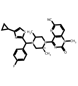 CC1CN(c2nc(=O)n(C)c3ccc(C#N)nc23)[C@@H](C)CN1C(c1ccc(F)cc1)c1nc(C2CC2)cs1